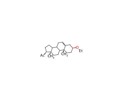 CCO[C@H]1CC[C@@]2(C)C(=CCC3C2CC[C@@]2(C)C3CC[C@@H]2C(C)=O)C1